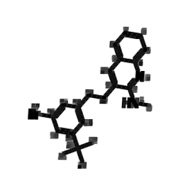 CNc1nc2ccccc2cc1CCc1cc(Br)cc(C(C)(C)C)c1